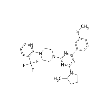 CSc1cccc(-c2nc(N3CCN(c4ncccc4C(F)(F)F)CC3)nc(N3CCCC3C)n2)c1